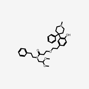 COC(CN(CCc1ccccc1)C(=O)CCOCCc1ccc(O)c(C2(c3ccccc3)CCN(C)CC2)c1)OC